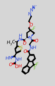 C[C@@H](NC(=O)[C@@H]1C[C@](F)(COCCN=[N+]=[N-])CN1C(=O)CNC(=O)c1ccc2c(c1)-c1ccccc1C2(F)F)c1cc(C(=N)NC(=O)O)cs1